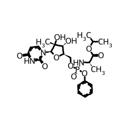 CC(C)OC(=O)[C@H](C)N[P@](=O)(OC[C@H]1O[C@@H](n2ccc(=O)[nH]c2=O)[C@](C)(O)[C@@H]1O)Oc1ccccc1